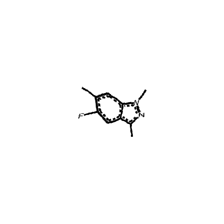 Cc1cc2c(cc1F)c(C)nn2C